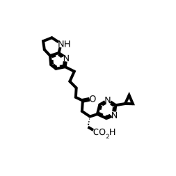 O=C(O)C[C@H](CC(=O)CCCCc1ccc2c(n1)NCCC2)c1cnc(C2CC2)nc1